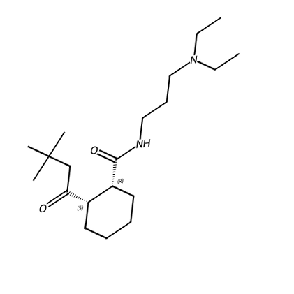 CCN(CC)CCCNC(=O)[C@@H]1CCCC[C@@H]1C(=O)CC(C)(C)C